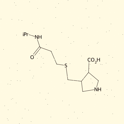 CC(C)NC(=O)CCSCC1CNCC1C(=O)O